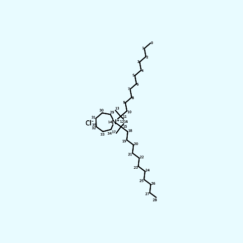 CCCCCCCCCCCC(C)(C)[N+]1(C(C)(C)CCCCCCCCCCC)CCCCCC1.[Cl-]